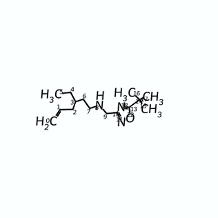 C=CCC(CC)CCNCc1noc(C(C)(C)C)n1